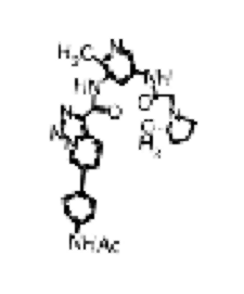 CC(=O)Nc1ccc(-c2ccc3c(C(=O)Nc4cc(NC(=O)CN5CCC[C@@H]5C)cnc4C)nnn3c2)cc1